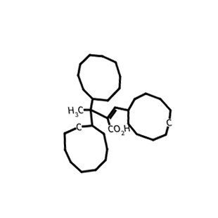 CC(C(=CC1CCCCCCCCC1)C(=O)O)(C1CCCCCCCCC1)C1CCCCCCCCC1